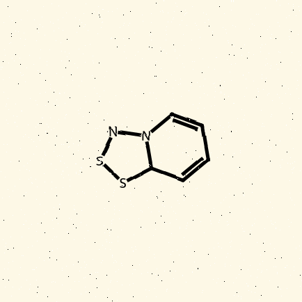 C1=CC2SS[N]N2C=C1